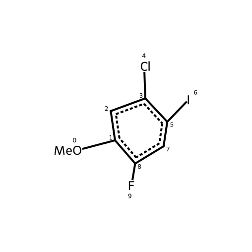 COc1cc(Cl)c(I)cc1F